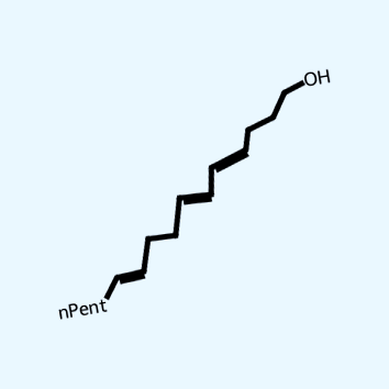 CCCCCC=CCCC=CC=CCCCO